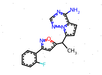 CC(c1cc(-c2ccccc2F)no1)c1ccc2c(N)ncnn12